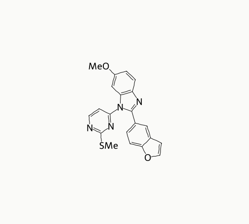 COc1ccc2nc(-c3ccc4occc4c3)n(-c3ccnc(SC)n3)c2c1